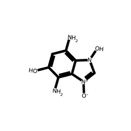 Nc1cc(O)c(N)c2c1n(O)c[n+]2[O-]